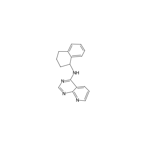 c1ccc2c(c1)CCCC2Nc1ncnc2ncccc12